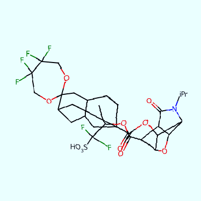 CC(C)N1C(=O)C2C3OC(C(OC(=O)C45CCC6CC7(OCC(F)(F)C(F)(F)CO7)C(CC6C4)C5)C31)C2C(=O)OC(C)C(F)(F)S(=O)(=O)O